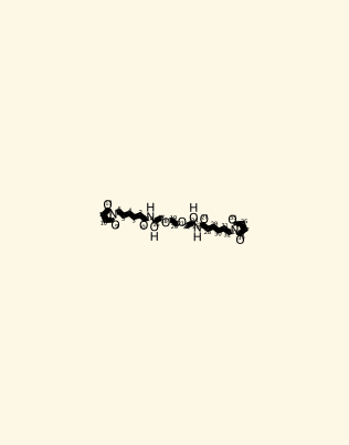 O=C(CCCCCN1C(=O)C=CC1=O)NC(O)COCCOCC(O)NC(=O)CCCCCN1C(=O)C=CC1=O